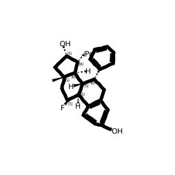 CC(C)[C@@H]1[C@H]2[C@H]3[C@@H](c4ccc(O)cc4C[C@H]3c3ccccc3)[C@@H](F)C[C@]2(C)C[C@@H]1O